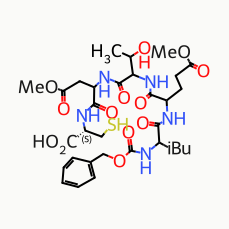 CCC(C)C(NC(=O)OCc1ccccc1)C(=O)NC(CCC(=O)OC)C(=O)NC(C(=O)NC(CC(=O)OC)C(=O)N[C@H](CS)C(=O)O)C(C)O